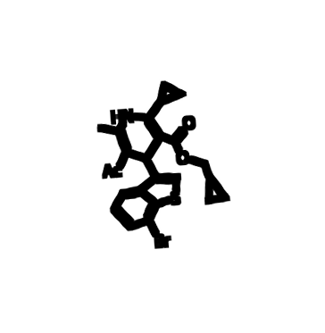 CC(=O)C1=C(C)NC(C2CC2)=C(C(=O)OCC2CC2)C1c1csc2c(Br)cccc12